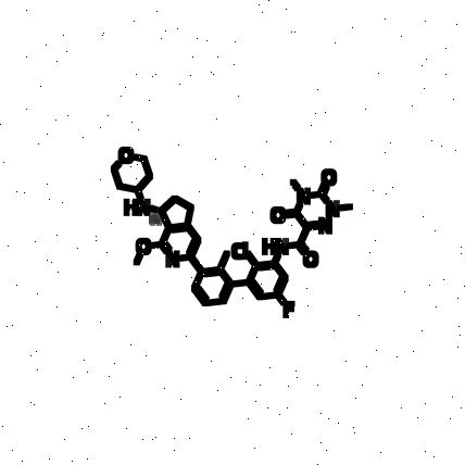 COc1nc(-c2cccc(-c3cc(F)cc(NC(=O)c4nn(C)c(=O)n(C)c4=O)c3Cl)c2C)cc2c1[C@@H](NC1CCOCC1)CC2